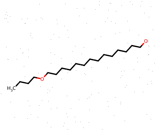 CCCCOCCCCCCCCCCCCCC[O]